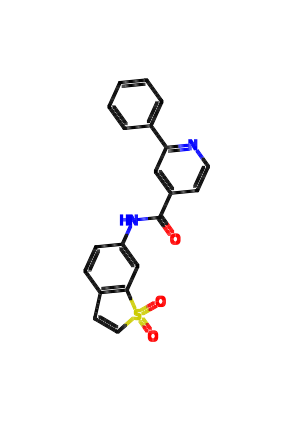 O=C(Nc1ccc2c(c1)S(=O)(=O)C=C2)c1ccnc(-c2ccccc2)c1